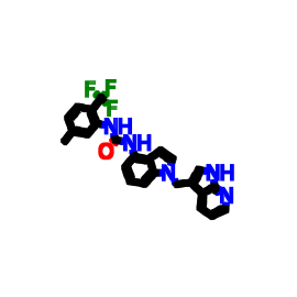 Cc1ccc(C(F)(F)F)c(NC(=O)Nc2cccc3c2ccn3Cc2c[nH]c3ncccc23)c1